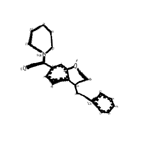 O=C(c1ccc2c(c1)OCC2Cc1ccccc1)N1CCCCC1